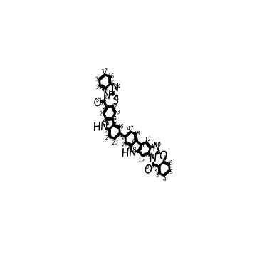 O=c1c2ccccc2oc2nc3cc4c(cc3n12)[nH]c1cc(-c2ccc3[nH]c5cc6c(=O)n7c(nc8ccccc87)sc6cc5c3c2)ccc14